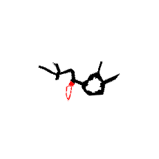 Cc1ccc(C(=O)CC(C)(C)C)cc1C